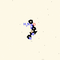 Nc1ccccc1NC(=O)c1ccc(C2(c3nc(-c4cccnc4)cs3)CC2)cc1